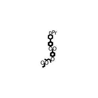 C=CC(=O)OC(C)CC(C)Oc1ccc(C(=O)Oc2ccc(C3CCC(CCC)CC3)cc2)cc1